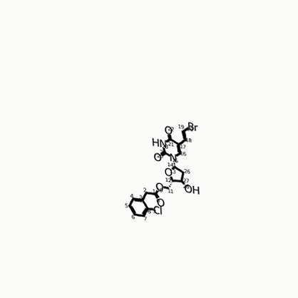 O=C(Cc1ccccc1Cl)OC[C@@H]1O[C@H](n2cc(/C=C/Br)c(=O)[nH]c2=O)CC1O